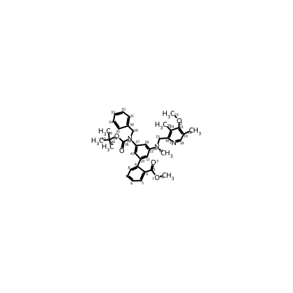 COC(=O)c1ccccc1-c1cc(N(C)Cc2ncc(C)c(OC)c2C)cc(N(Cc2ccccc2)C(=O)OC(C)(C)C)c1